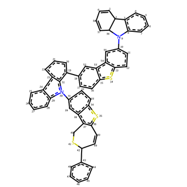 C1=CC2c3ccccc3N(c3ccc4sc5ccc(-c6cccc7c8ccccc8n(-c8ccc9sc%10c(c9c8)CSC(c8ccccc8)C=C%10)c67)cc5c4c3)C2C=C1